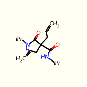 C=CCC(CC=C)(C(=O)NC(C)C)C(=O)NC(C)C